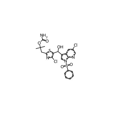 CC(C)(Cc1nc(Cl)c(C(O)c2cn(S(=O)(=O)c3ccccc3)c3ncc(Cl)cc23)s1)OC(N)=O